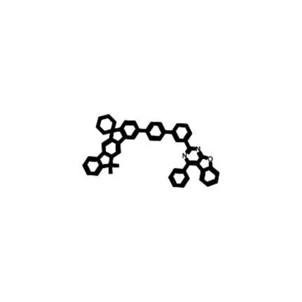 CC1(C)c2ccccc2C2C=C3C(=CC21)c1cc(-c2ccc(C4=CC(c5nc(-c6ccccc6)c6c(n5)oc5ccccc56)=CCC4)cc2)ccc1C31CCCCC1